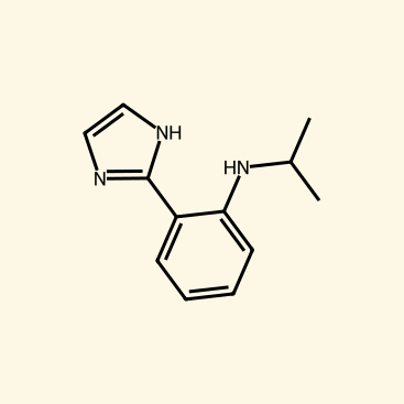 CC(C)Nc1ccccc1-c1ncc[nH]1